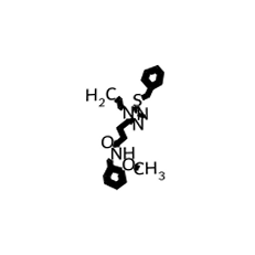 C=CCn1c(CCC(=O)NCc2ccccc2OC)nnc1SCc1ccccc1